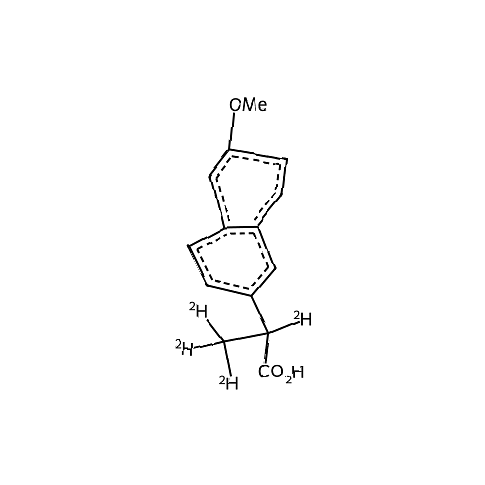 [2H]C([2H])([2H])C([2H])(C(=O)O)c1ccc2cc(OC)ccc2c1